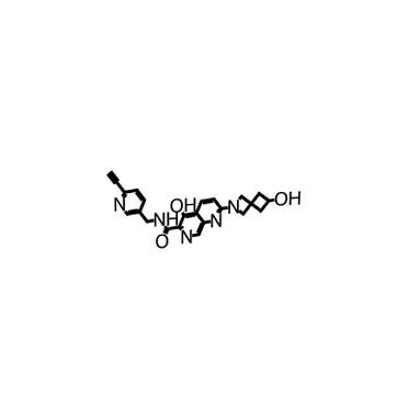 C#Cc1ccc(CNC(=O)c2ncc3nc(N4CC5(CC(O)C5)C4)ccc3c2O)cn1